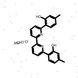 Cc1ccc(-c2cccc(-c3cccc(-c4ccc(C)cc4O)n3)n2)c(O)c1.[Cl-].[Cl-].[Cl-].[Mn+3]